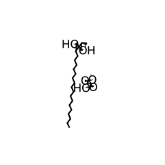 CCCCCCCCCCCCCCCCCC[N+](O)(O)CC.COS(=O)(=O)O